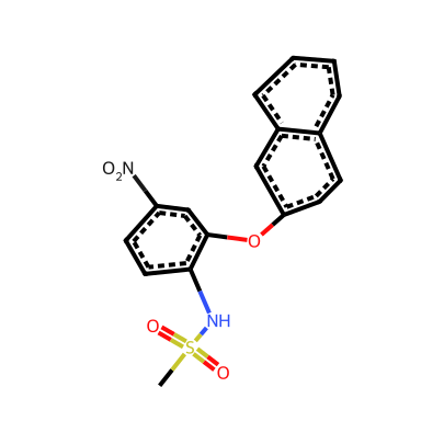 CS(=O)(=O)Nc1ccc([N+](=O)[O-])cc1Oc1ccc2ccccc2c1